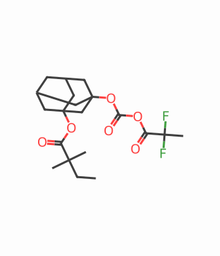 CCC(C)(C)C(=O)OC12CC3CC(CC(OC(=O)OC(=O)C(C)(F)F)(C3)C1)C2